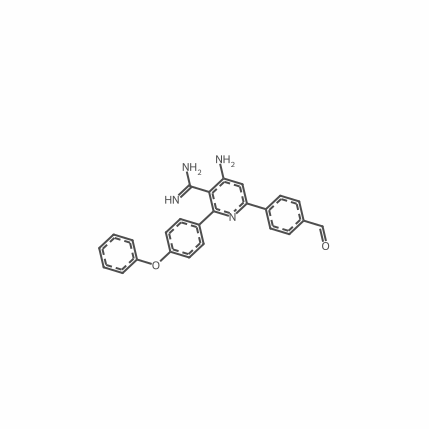 N=C(N)c1c(N)cc(-c2ccc(C=O)cc2)nc1-c1ccc(Oc2ccccc2)cc1